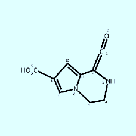 O=C=C1NCCn2cc(C(=O)O)cc21